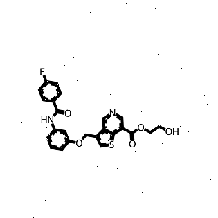 O=C(Nc1cccc(OCc2csc3c(C(=O)OCCO)cncc23)c1)c1ccc(F)cc1